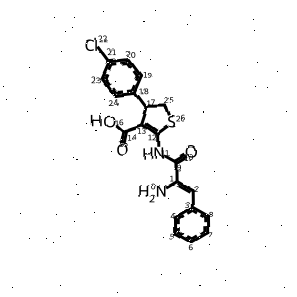 N/C(=C\c1ccccc1)C(=O)NC1=C(C(=O)O)C(c2ccc(Cl)cc2)CS1